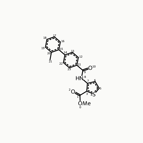 COC(=O)c1sccc1NC(=O)c1ccc(-c2ccccc2C)cc1